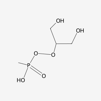 CP(=O)(O)OOC(CO)CO